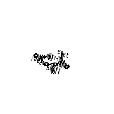 CCN(CC)CCNc1nc(Cc2ccccc2)nc(Nc2ccc(/C=C/c3ccc(Nc4nc(NCCN(CC)CC)nc(Nc5ccccc5)n4)cc3S(=O)(=O)O)c(SOOO)c2)n1